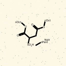 CCCCCC.CCCCCCCCOC(=O)CC(C(=O)OCCCCCCCC)S(=O)(=O)O.[NaH]